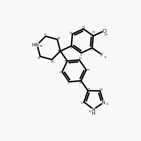 Fc1cc(C2(c3ccc(-c4cn[nH]c4)cc3)CCNCC2)ccc1Cl